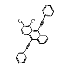 Clc1ccc2c(C#Cc3ccccc3)c3ccccc3c(C#Cc3ccccc3)c2c1Cl